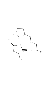 O=C(O)CCCCC1CCSS1.O=C1CC(O)C(=O)N1